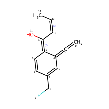 C=C=c1cc(CF)cc/c1=C(O)/C=C\C